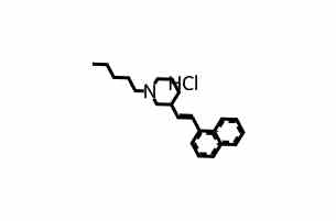 CCCCCN1CCCC(C=Cc2cccc3ccccc23)C1.Cl